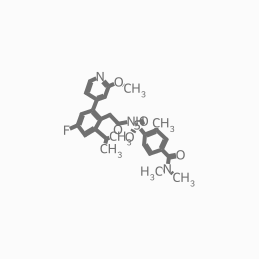 COc1cc(-c2cc(F)cc(C(C)C)c2CC(=O)NS(=O)(=O)c2ccc(C(=O)N(C)C)cc2C)ccn1